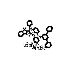 CC1(C)c2ccccc2-c2sc3c(c21)N(c1ccccc1)c1cccc2c1B3c1cc3c(cc1N2c1cc(-c2ccccc2)cc(-c2ccccc2)c1)N(C(C)(C)C)C(C)(C)N3C(C)(C)C